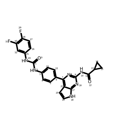 O=C(Nc1ccc(-c2nc(NC(=O)C3CC3)nc3[nH]ccc23)cc1)Nc1ccc(F)c(F)c1